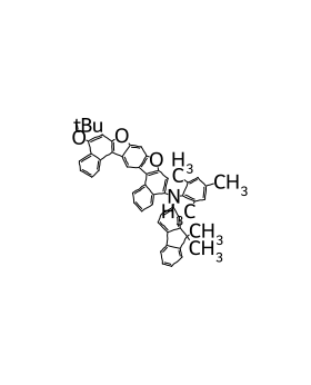 Cc1cc(C)c(N(c2ccc3c(c2)C(C)(C)c2ccccc2-3)c2cc3oc4cc5oc6cc(OC(C)(C)C)c7ccccc7c6c5cc4c3c3ccccc23)c(C)c1